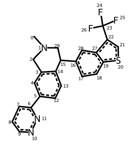 CN1Cc2cc(-c3cccnn3)ccc2C(c2ccc3scc(C(F)(F)F)c3c2)C1